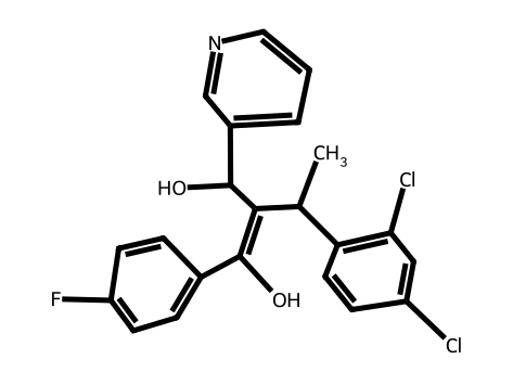 CC(/C(=C(\O)c1ccc(F)cc1)C(O)c1cccnc1)c1ccc(Cl)cc1Cl